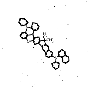 CC1(C)c2cc3c(cc2-c2cc4ccc(N(c5ccccc5)c5cccc6ccccc56)cc4cc21)Oc1cccc2c1B3c1ccccc1N2c1ccccc1